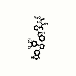 COC(=O)NC(C(=O)N1CCC[C@H]1c1nc2cc([C@H]3CC[C@H](c4ccc5[nH]cnc5c4)N3c3ccc(OC(F)(F)F)c(Cl)c3)ccc2[nH]1)C(C)C